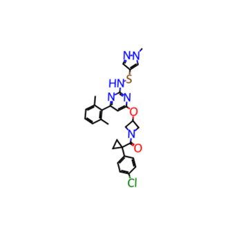 Cc1cccc(C)c1-c1cc(OC2CN(C(=O)C3(c4ccc(Cl)cc4)CC3)C2)nc(NSc2cnn(C)c2)n1